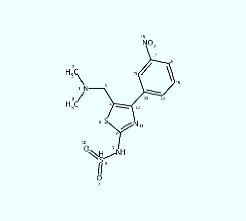 CN(C)Cc1sc(N[SH](=O)=O)nc1-c1cccc([N+](=O)[O-])c1